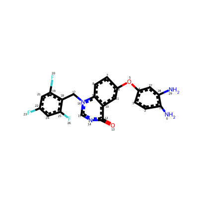 Nc1ccc(Oc2ccc3c(c2)c(=O)ncn3Cc2c(F)cc(F)cc2F)cc1N